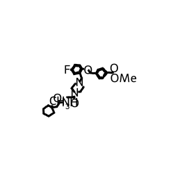 COC(=O)c1ccc(COc2ccc(F)cc2CN2CCN(C(=O)CNC(=O)CC3(C)CCCCC3)CC2)cc1